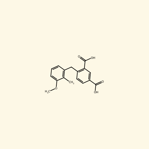 COc1cccc(Cc2ccc(C(=O)O)cc2C(=O)O)c1C